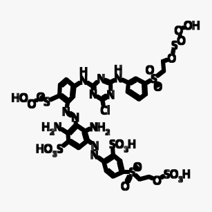 Nc1c(/N=N/c2ccc(S(=O)(=O)CCOS(=O)(=O)O)cc2S(=O)(=O)O)cc(S(=O)(=O)O)c(N)c1/N=N/c1cc(Nc2nc(Cl)nc(Nc3cccc(S(=O)(=O)CCOSOOO)c3)n2)ccc1SOOO